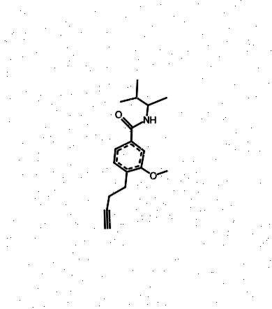 C#CCCc1ccc(C(=O)NC(C)C(C)C)cc1OC